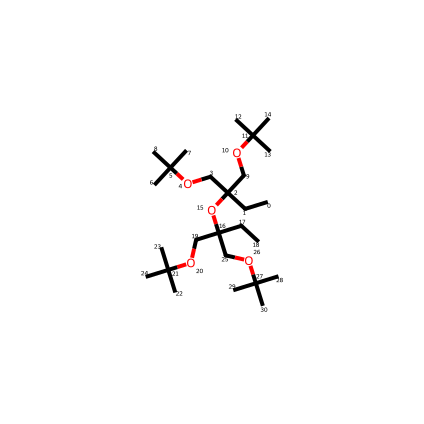 CCC(COC(C)(C)C)(COC(C)(C)C)OC(CC)(COC(C)(C)C)COC(C)(C)C